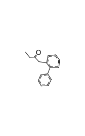 CCC(=O)Cc1ccccc1-c1ccccc1